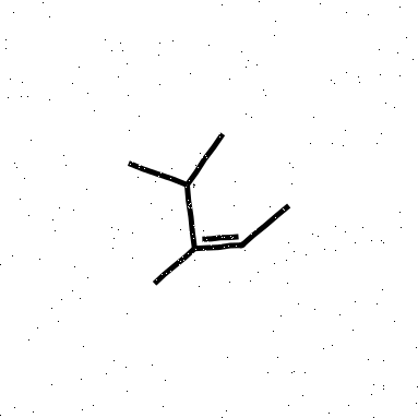 CC=C(C)[C](C)C